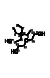 CC[N+](CC)(CC)CC.OCCOCCO.[OH-]